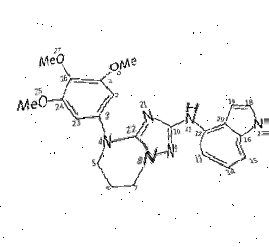 COc1cc(N2CCCn3nc(Nc4cccc5[nH]ccc45)nc32)cc(OC)c1OC